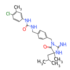 Cc1cc(NC(=O)NCc2ccc(CN3C(=N)NC(C)(CC(C)C)C3=O)cc2)ccc1Cl